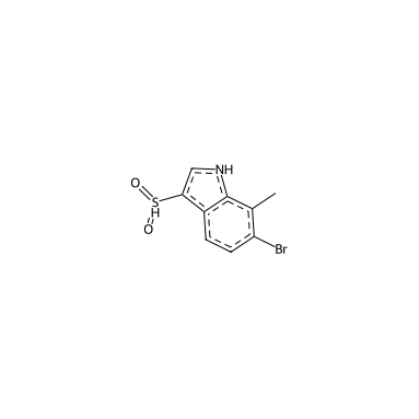 Cc1c(Br)ccc2c([SH](=O)=O)c[nH]c12